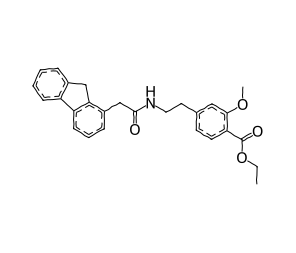 CCOC(=O)c1ccc(CCNC(=O)Cc2cccc3c2Cc2ccccc2-3)cc1OC